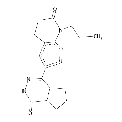 CCCN1C(=O)CCc2cc(C3=NNC(=O)C4CCCC34)ccc21